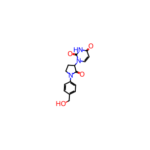 O=C1C(n2ccc(=O)[nH]c2=O)CCN1c1ccc(CO)cc1